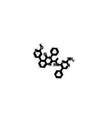 COc1cc(-c2cccc3nc(C(C)Nc4nc(N)ncc4-c4ccccc4)n(-c4ccccc4)c(=O)c23)ccn1